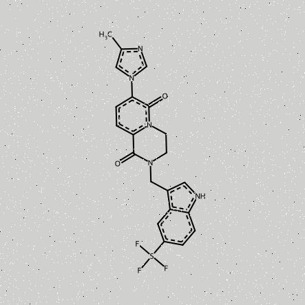 Cc1cn(-c2ccc3n(c2=O)CCN(Cc2c[nH]c4ccc(S(F)(F)F)cc24)C3=O)cn1